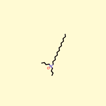 CCCCCCCCCCCCCC[N+]([O-])(CCCC)CCCC